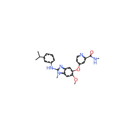 CNC(=O)c1cc(Oc2cc3nc(Nc4cccc(C(C)C)c4)n(C)c3cc2OC)ccn1